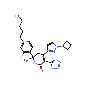 O=C1NC(c2ccc(CCCCC(F)(F)F)cc2F)(C(F)(F)F)CC(c2ccn(C3CCC3)n2)=C1c1nnn[nH]1